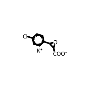 O=C([O-])C1OC1c1ccc(Cl)cc1.[K+]